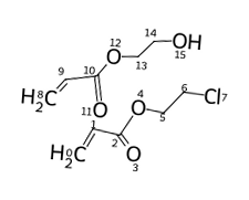 C=CC(=O)OCCCl.C=CC(=O)OCCO